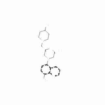 CC1CCN(C[C@@H]2CN(c3ccc(C#N)c4ncccc34)C[C@@H](C)O2)CC1